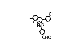 Cc1ccc(CC(c2cccc(Cl)c2)c2nc(-c3ccc(C=O)cc3)no2)cc1C